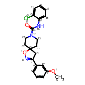 COc1cccc(C2=NOC3(CCN(C(=O)Nc4ccccc4Cl)CC3)C2)c1